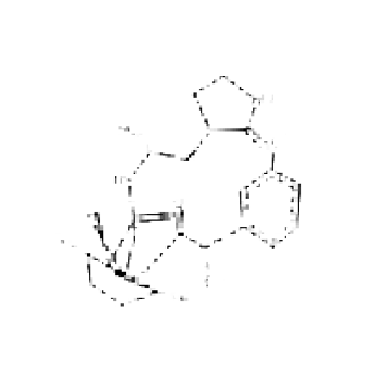 N#C[C@H](C[C@H]1CCNC1=O)NC(=O)[C@H]1[C@@H]2CC[C@@H](CC2(F)F)N1C(=O)[C@@H](O)c1cccc(Cl)c1